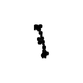 C(=C\c1ccc2c(c1)C1(c3ccccc3-c3ccccc31)c1cc(/C=C/c3ccc(-c4ccc5c(c4)c4ccccc4n5-c4ccccn4)cc3)ccc1-2)/c1ccc(-c2ccc3c(c2)c2ccccc2n3-c2ccccn2)cc1